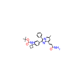 Cc1cc(/C=C/C(N)=O)c2nc(-c3ccc(C4(NC(=O)OC(C)(C)C)CCC4)cc3)c(-c3ccccc3)n2c1